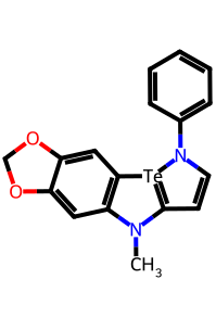 CN1C2=[Te](c3cc4c(cc31)OCO4)N(c1ccccc1)C=C2